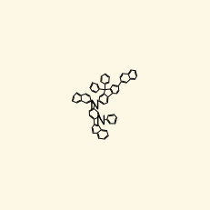 c1ccc(-n2c3cc(N(c4ccc5c(c4)C(c4ccccc4)(c4ccccc4)c4cc(-c6ccc7ccccc7c6)ccc4-5)c4ccc5ccccc5c4)ccc3c3ccc4ccccc4c32)cc1